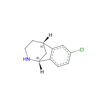 Clc1ccc2c(c1)[C@H]1CCN[C@@H]2C1